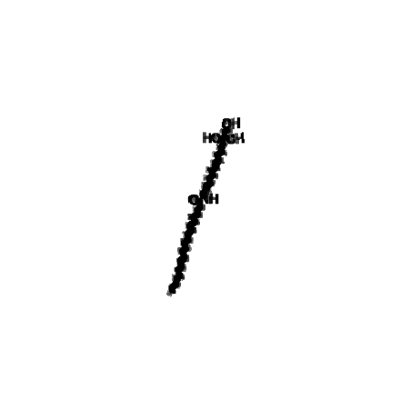 CCCCCCCCCCCCCCCCCCCCCC(=O)NCCCCCCCCCCCCCCC(O)C(O)CCO